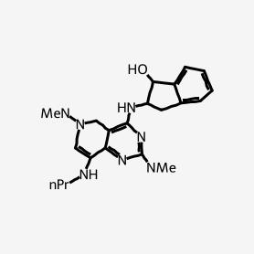 CCCNC1=CN(NC)Cc2c(NC3Cc4ccccc4C3O)nc(NC)nc21